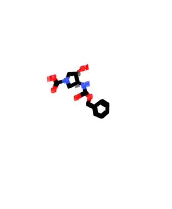 O=C(N[C@@H]1CN(C(=O)O)C[C@@H]1O)OCc1ccccc1